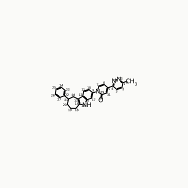 Cc1ccc(-c2ccn(-c3ccc4c5c([nH]c4c3)CCCC(c3ccccc3)C5)c(=O)c2)nn1